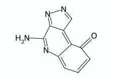 Nc1nc2c(c3c1=NN=C3)C(=O)C=CC=2